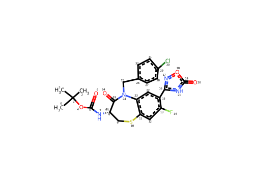 CC(C)(C)OC(=O)N[C@H]1CSc2cc(F)c(-c3noc(=O)[nH]3)cc2N(Cc2ccc(Cl)cc2)C1=O